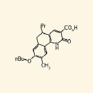 CCCCOc1cc2c(cc1C)-c1[nH]c(=O)c(C(=O)O)cc1C(C(C)C)C2